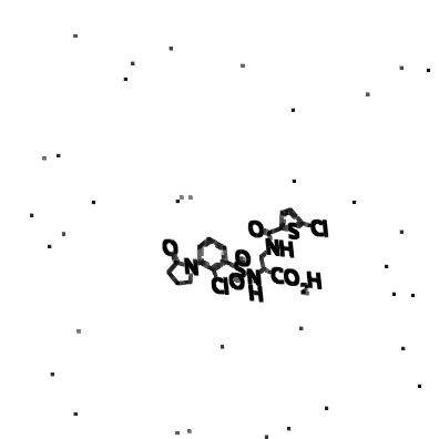 O=C(NCC(NS(=O)(=O)c1cccc(N2CCCC2=O)c1Cl)C(=O)O)c1ccc(Cl)s1